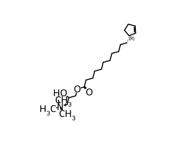 C[N+](C)(C)CC(O)COC(=O)CCCCCCCCCC[C@H]1C=CCC1